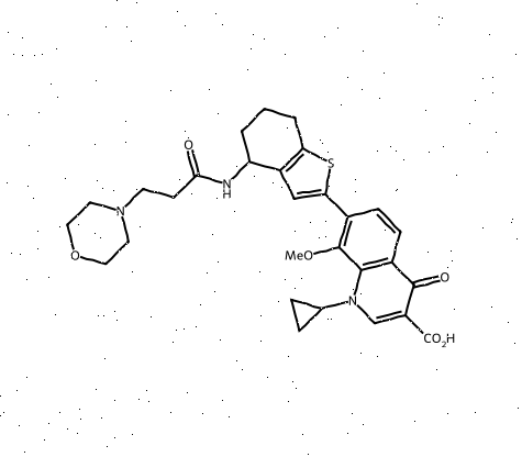 COc1c(-c2cc3c(s2)CCCC3NC(=O)CCN2CCOCC2)ccc2c(=O)c(C(=O)O)cn(C3CC3)c12